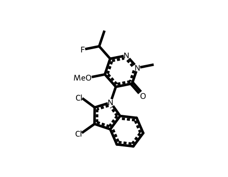 COc1c(C(C)F)nn(C)c(=O)c1-n1c(Cl)c(Cl)c2ccccc21